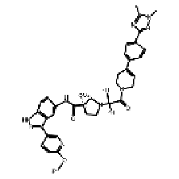 [2H]C([2H])(C(=O)N1CC=C(c2ccc(-c3nc(C)n(C)n3)cc2)CC1)N1CC[C@@](OC)(C(=O)Nc2ccc3[nH]nc(-c4ccc(OC(C)C)nc4)c3c2)C1